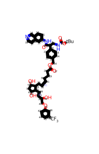 CC(C)(C)OC(=O)NCC(C(=O)Nc1ccc2cnccc2c1)c1ccc(COC(=O)CCC/C=C\CC2C(/C=C/C(O)COc3cccc(C(F)(F)F)c3)[C@H](O)C[C@@H]2O)cc1